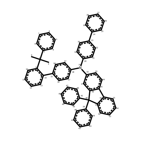 CC(C)(c1ccccc1)c1ccccc1-c1ccc(N(c2ccc(-c3ccccc3)cc2)c2ccc3c(c2)C(c2ccccc2)(c2ccccc2)c2ccccc2-3)cc1